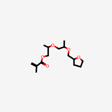 C=C(C)C(=O)OCC(C)OCC(C)OCC1CCCO1